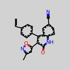 C=Cc1ccc(-c2c(-c3cc(C)no3)c(=O)[nH]c3ccc(C#N)cc23)cc1